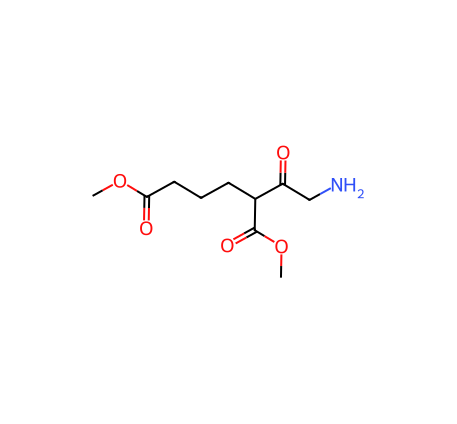 COC(=O)CCCC(C(=O)CN)C(=O)OC